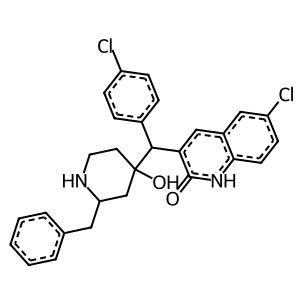 O=c1[nH]c2ccc(Cl)cc2cc1C(c1ccc(Cl)cc1)C1(O)CCNC(Cc2ccccc2)C1